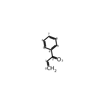 C=CC(=O)c1[c]cccc1